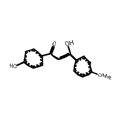 COc1ccc(/C(O)=C/C(=O)c2ccc(O)cc2)cc1